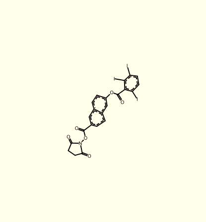 O=C(ON1C(=O)CCC1=O)c1ccc2cc(OC(=O)c3c(I)ccc(I)c3I)ccc2c1